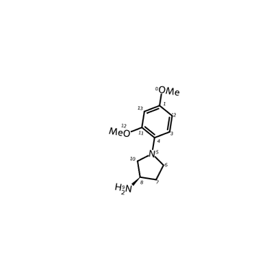 COc1[c]cc(N2CC[C@@H](N)C2)c(OC)c1